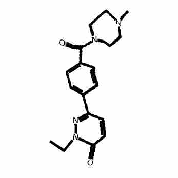 CCn1nc(-c2ccc(C(=O)N3CCN(C)CC3)cc2)ccc1=O